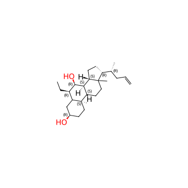 C=CC[C@@H](C)[C@H]1CC[C@H]2[C@@H]3[C@H](O)[C@H](CC)C4C[C@H](O)CC[C@]4(C)[C@H]3CCC12C